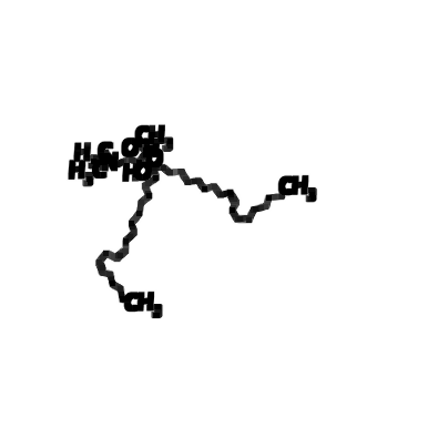 CCCCC/C=C\C/C=C\CCCCCCCCC1(CCCCCCCC/C=C\C/C=C\CCCCC)O[C@@H]2[C@H](O1)[C@@H](CN(C)C)O[C@H]2C